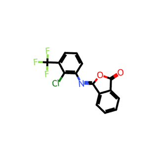 O=C1O/C(=N\c2cccc(C(F)(F)F)c2Cl)c2ccccc21